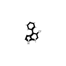 ClC1CN=c2[nH]ccc2=C1C1=CCCCC1